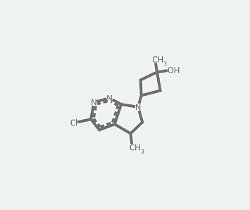 CC1CN(C2CC(C)(O)C2)c2nnc(Cl)cc21